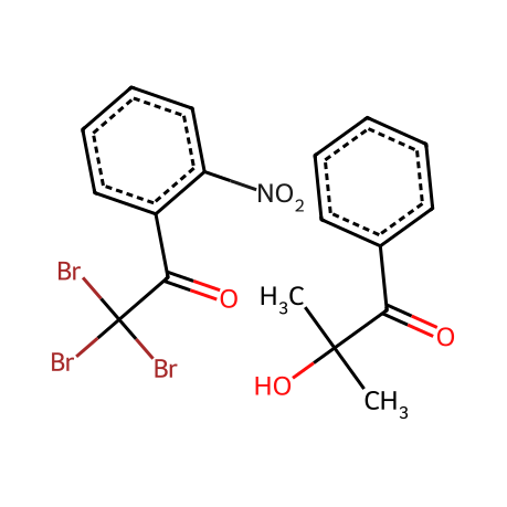 CC(C)(O)C(=O)c1ccccc1.O=C(c1ccccc1[N+](=O)[O-])C(Br)(Br)Br